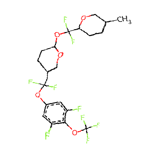 CC1CCC(C(F)(F)OC2CCC(C(F)(F)Oc3cc(F)c(OC(F)(F)F)c(F)c3)CO2)OC1